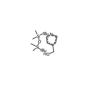 CC(C)(C)[Si](C)(C)O[Si](C)(C)C(C)(C)C.OCc1ccncc1